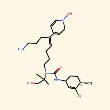 CC(C)(CO)N(CCCC=C(CCCN)C1=CCN(O)C=C1)C(=O)NC1C=C(Cl)[C@H](C#N)CC1